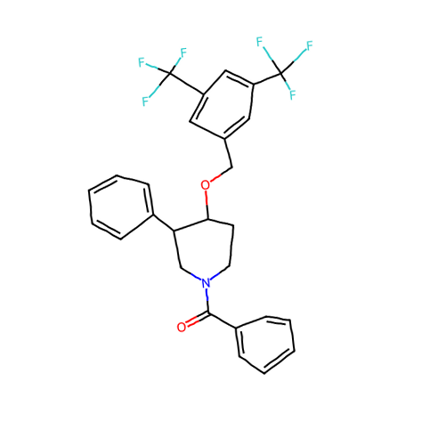 O=C(c1ccccc1)N1CCC(OCc2cc(C(F)(F)F)cc(C(F)(F)F)c2)C(c2ccccc2)C1